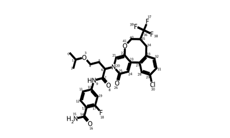 CC(C)OCCC(C(=O)Nc1ccc(C(N)=O)c(F)c1)n1cc2c(cc1=O)-c1cc(Cl)ccc1CC(C(F)(F)F)CO2